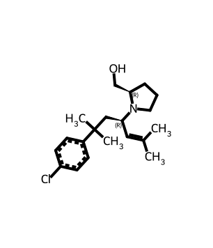 CC(C)=C[C@@H](CC(C)(C)c1ccc(Cl)cc1)N1CCC[C@@H]1CO